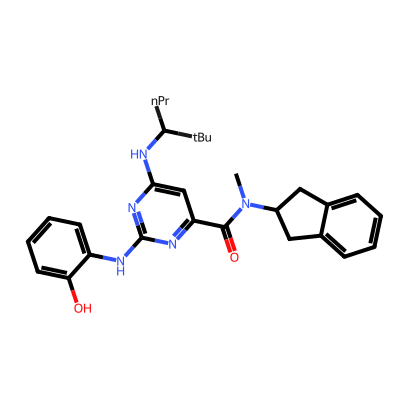 CCCC(Nc1cc(C(=O)N(C)C2Cc3ccccc3C2)nc(Nc2ccccc2O)n1)C(C)(C)C